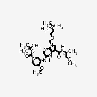 COC[C@H](C)NC(=O)c1cn(COCCS(C)(C)C)c2ncc(N[C@H]3CN(C(=O)OC(C)(C)C)CC[C@H]3OC)nc12